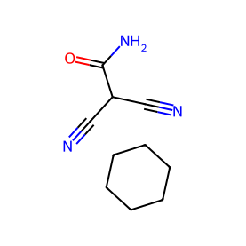 C1CCCCC1.N#CC(C#N)C(N)=O